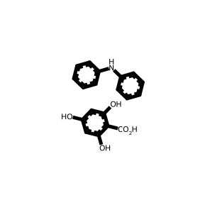 O=C(O)c1c(O)cc(O)cc1O.c1ccc(Nc2ccccc2)cc1